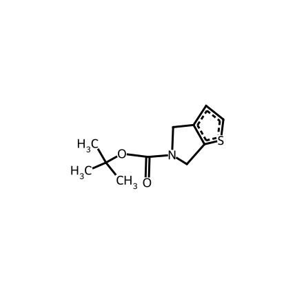 CC(C)(C)OC(=O)N1Cc2ccsc2C1